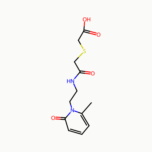 Cc1cccc(=O)n1CCNC(=O)CSCC(=O)O